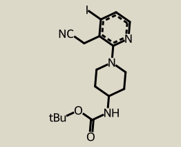 CC(C)(C)OC(=O)NC1CCN(c2nccc(I)c2CC#N)CC1